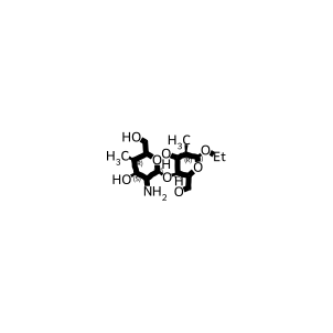 CCO[C@H]1OC(CO)[C@@H](O[C@@H]2OC(CO)[C@H](C)[C@H](O)C2N)C(O)[C@H]1C